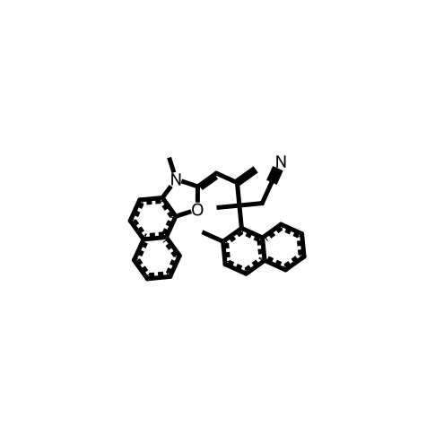 C=C(/C=C1\Oc2c(ccc3ccccc23)N1C)C(C)(CC#N)c1c(C)ccc2ccccc12